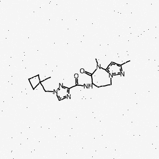 Cc1cc2n(n1)CC[C@H](NC(=O)c1ncn(CC3(C)CCC3)n1)C(=O)N2C